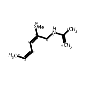 C=C(C)NC/C(=C\C=C/C)SC